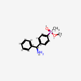 CCO[P@](C)(=O)c1ccc(C(N)c2ccccc2)cc1